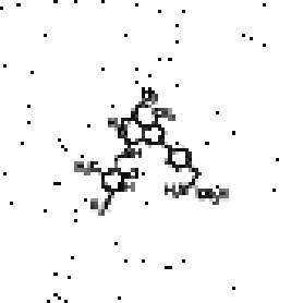 C/C=C(/C)c1c(C)cc(-c2ccc(C[C@@H](N)C(=O)O)cc2)cc1C(=O)NCc1c(C)cc(C)[nH]c1=O